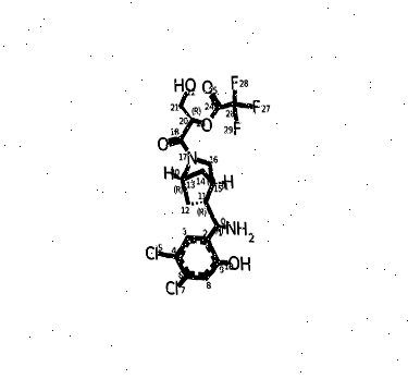 N[C@@H](c1cc(Cl)c(Cl)cc1O)[C@@H]1C[C@H]2C[C@H]1CN2C(=O)[C@@H](CO)OC(=O)C(F)(F)F